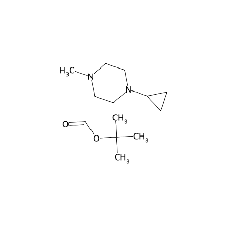 CC(C)(C)OC=O.CN1CCN(C2CC2)CC1